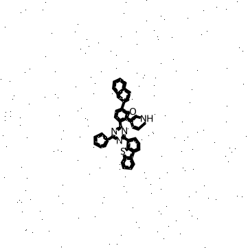 C1=Cc2c(oc3c(-c4ccc5ccccc5c4)ccc(-c4nc(-c5ccccc5)nc(-c5cccc6c5sc5ccccc56)n4)c23)NC1